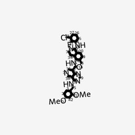 COc1ccc(CNc2ncnc3c(C(=O)Nc4c(C)ccc5c(Nc6cccc(Cl)c6F)nccc45)cncc23)c(OC)c1